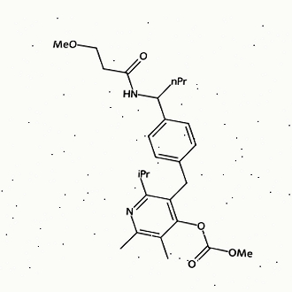 CCCC(NC(=O)CCOC)c1ccc(Cc2c(C(C)C)nc(C)c(C)c2OC(=O)OC)cc1